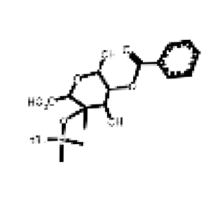 CC1(O[Si](C)(C)C(C)(C)C)C(C(=O)O)O[C@@H](O)[C@@H](OC(=O)c2ccccc2)C1O